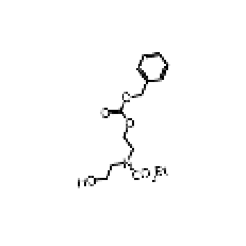 CCOC(=O)N(CCO)CCOC(=O)OCc1ccccc1